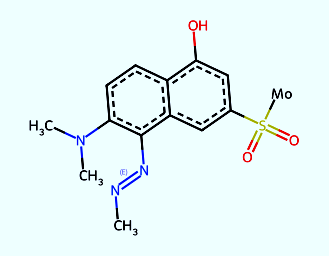 C/N=N/c1c(N(C)C)ccc2c(O)cc([S](=O)(=O)[Mo])cc12